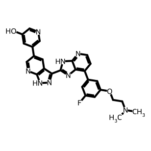 CN(C)CCOc1cc(F)cc(-c2ccnc3[nH]c(-c4n[nH]c5ncc(-c6cncc(O)c6)cc45)nc23)c1